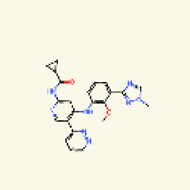 COc1c(Nc2cc(NC(=O)C3CC3)ncc2-c2cccnn2)cccc1-c1ncn(C)n1